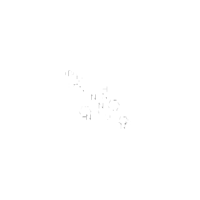 Cc1noc(C)c1-c1ccc2c3c1OC[C@H](c1ccccn1)N3C(N1CCCN(C(=O)OC(C)(C)C)CC1)N2